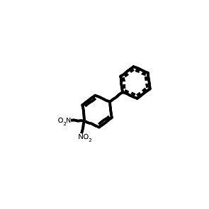 O=[N+]([O-])C1([N+](=O)[O-])C=CC(c2ccccc2)C=C1